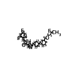 CC(F)CCOCC1CCCN(C2CCN(c3ncc(C(=O)NCc4ncc(F)cc4F)s3)CC2)C1